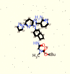 CN(CC(=O)N[C@H]1CCc2cc(-n3c(-c4cccnc4N)nc4ccc(-n5cccn5)nc43)ccc21)C(=O)OC(C)(C)C